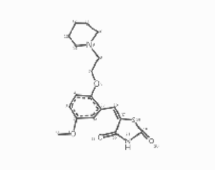 COc1ccc(OCCN2CCCCC2)c(/C=C2/SC(=O)NC2=O)c1